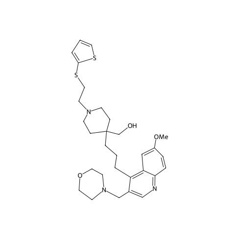 COc1ccc2ncc(CN3CCOCC3)c(CCCC3(CO)CCN(CCSc4cccs4)CC3)c2c1